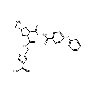 CO[C@H]1C[C@H](C(=O)NCc2cc(C(=N)N)cs2)[C@H](C(=O)CNC(=O)c2ccc(Oc3ccccc3)cc2)C1